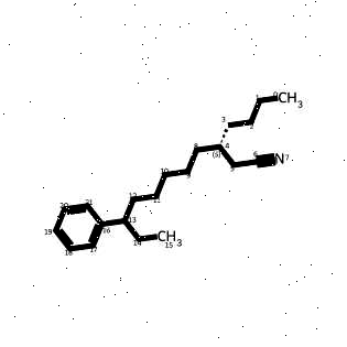 CCCC[C@H](CC#N)CCCCCC(CC)c1ccccc1